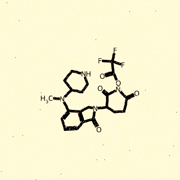 CN(c1cccc2c1CN(C1CCC(=O)N(OC(=O)C(F)(F)F)C1=O)C2=O)C1CCNCC1